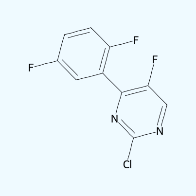 Fc1ccc(F)c(-c2nc(Cl)ncc2F)c1